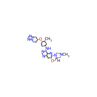 Cc1cc(Nc2ncnc3cc4c(nc23)N2CCN(C)C[C@H]2CO4)ccc1Oc1ccn2ncnc2c1